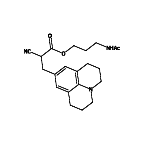 CC(=O)NCCCOC(=O)C(C#N)Cc1cc2c3c(c1)CCCN3CCC2